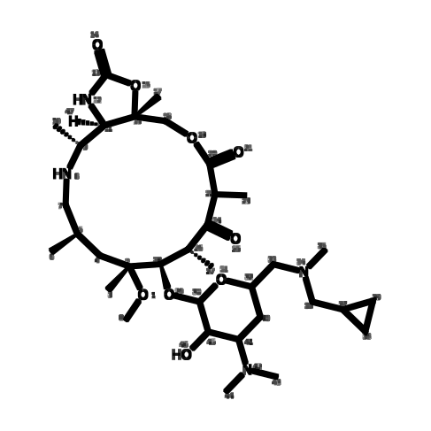 CO[C@]1(C)C[C@@H](C)CN[C@H](C)[C@H]2NC(=O)O[C@]2(C)COC(=O)C(C)C(=O)[C@H](C)[C@H]1OC1OC(CN(C)CC2CC2)CC(N(C)C)C1O